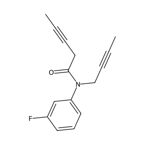 CC#CCC(=O)N(CC#CC)c1cccc(F)c1